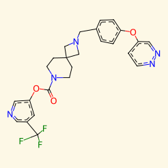 O=C(Oc1cncc(C(F)(F)F)c1)N1CCC2(CC1)CN(Cc1ccc(Oc3ccnnc3)cc1)C2